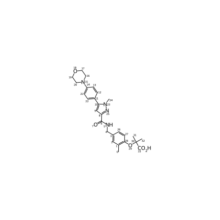 Cc1cc(CNC(=O)c2cc(-c3ccc(N4CCOCC4)cc3)n(C)n2)ccc1OC(C)(C)C(=O)O